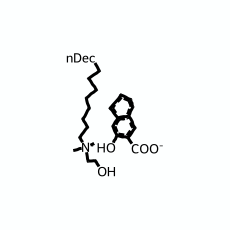 CCCCCCCCCCCCCCCCCC[N+](C)(C)CCO.O=C([O-])c1cc2ccccc2cc1O